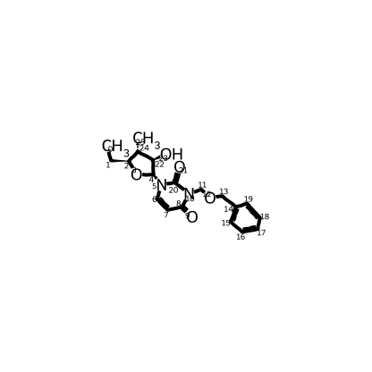 CC[C@@H]1O[C@H](n2ccc(=O)n(COCc3ccccc3)c2=O)[C@H](O)[C@H]1C